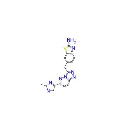 CC1N=CC(c2ccc3nnc(Cc4ccc5nc(N)sc5c4)n3n2)=N1